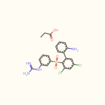 CCC(=O)O.N=C(N)Nc1cccc(S(=O)(=O)c2c(Cl)cc(Cl)cc2-c2ccccc2N)c1